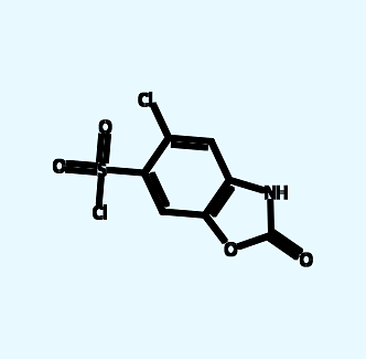 O=c1[nH]c2cc(Cl)c(S(=O)(=O)Cl)cc2o1